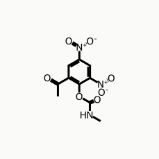 CNC(=O)Oc1c(C(C)=O)cc([N+](=O)[O-])cc1[N+](=O)[O-]